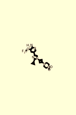 Nc1ncc(-c2cn(C34CC(N5CCS(=O)(=O)CC5)(C3)C4)c(C3CC3)n2)cc1OC(F)(F)F